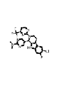 CN(C)c1ncc(C2c3[nH]c4cc(F)c(Cl)cc4c3CCN2c2nccc(C(F)(F)F)n2)cn1